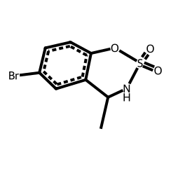 CC1NS(=O)(=O)Oc2ccc(Br)cc21